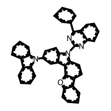 c1ccc(-c2nc(-n3c4ccc(-n5c6ccccc6c6ccccc65)cc4c4c5oc6ccccc6c5ccc43)nc3ccccc23)cc1